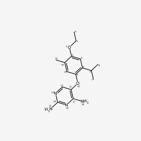 CCOc1cc(C(C)C)c(Oc2cnc(N)nc2N)cc1C